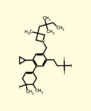 CCC(C)(C)CC1(C)CN(Cc2cc(C3CC3)c(C3=CCC(C)(I)C(C)C3)cc2CCC(I)(I)I)C1